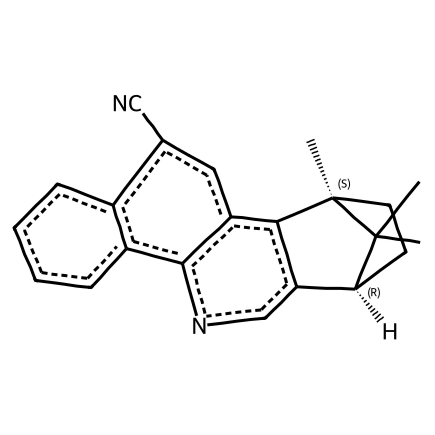 CC1(C)[C@H]2CC[C@]1(C)c1c2cnc2c1cc(C#N)c1ccccc12